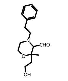 CC1(CCO)OCCN(CCc2ccccc2)C1C=O